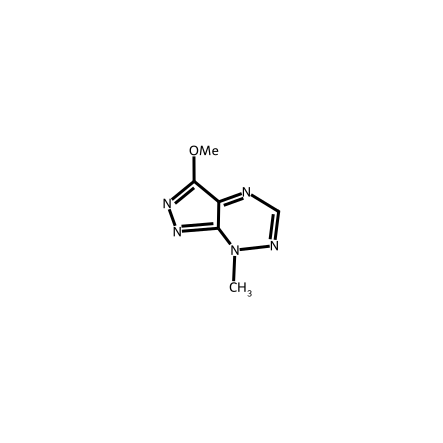 COc1nnc2n(C)ncnc1-2